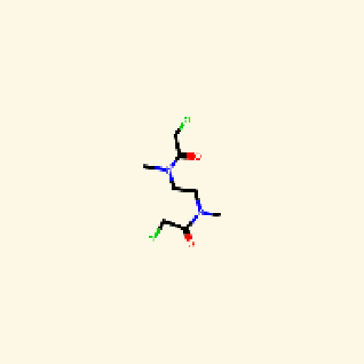 CN(CCN(C)C(=O)CCl)C(=O)CCl